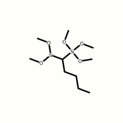 CCCCC([Si](OC)OC)[Si](OC)(OC)OC